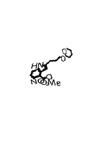 COC(=O)c1c([N+](=O)[O-])ccc2[nH]c(CCCOC3CCCCO3)cc12